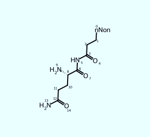 CCCCCCCCCCCC(=O)NC(=O)[C@@H](N)CCC(N)=O